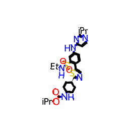 CCNS(=O)(=O)c1cc(Nc2ccnc(C(C)C)n2)ccc1-c1cnc([C@H]2CC[C@H](NC(=O)OC(C)C)CC2)s1